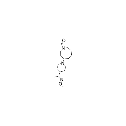 CON=C(C)C1CCN(C2CCCCN(C=O)CC2)CC1